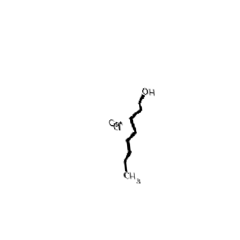 CCCCCCCCO.[Cl-].[Cs+]